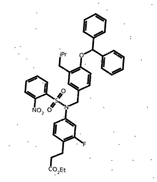 CCOC(=O)CCc1ccc(N(Cc2ccc(OC(c3ccccc3)c3ccccc3)c(CC(C)C)c2)S(=O)(=O)c2ccccc2[N+](=O)[O-])cc1F